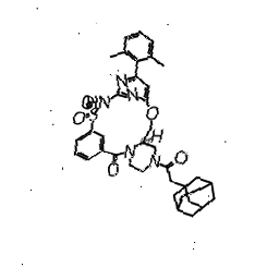 Cc1cccc(C)c1-c1cc2nc(n1)NS(=O)(=O)c1cccc(c1)C(=O)N1CCN(C(=O)CC34CC5CC(CC(C5)C3)C4)C[C@@H]1CO2